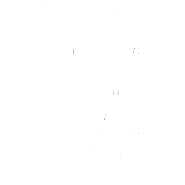 CC(OC1CCCCO1)c1nccn1Cc1cc(-c2c(F)cc(Br)cc2F)on1